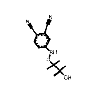 CC(C)(O)C(C)(C)OBc1ccc(C#N)c(C#N)c1